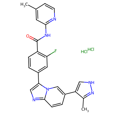 Cc1ccnc(NC(=O)c2ccc(-c3cnc4ccc(-c5c[nH]nc5C)cn34)cc2F)c1.Cl.Cl